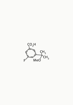 COC(C)(C)c1cc(F)cc(C(=O)O)c1